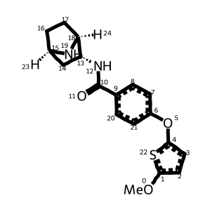 COc1ccc(Oc2ccc(C(=O)N[C@@H]3C[C@H]4CC[C@@H]3N4)cc2)s1